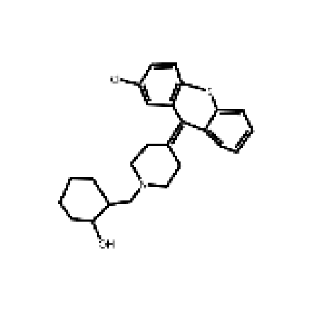 OC1CCCCC1CN1CCC(=C2c3ccccc3Sc3ccc(Cl)cc32)CC1